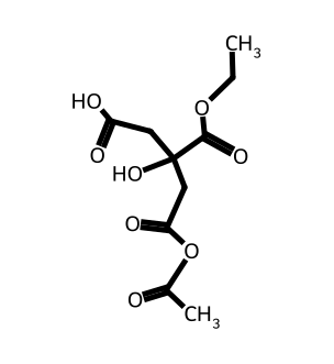 CCOC(=O)C(O)(CC(=O)O)CC(=O)OC(C)=O